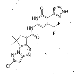 CC1(C)CC(C(=O)Nc2cc(C(F)F)c(-c3cc[nH]n3)c(=O)[nH]2)c2cnc3cc(Cl)nn3c21